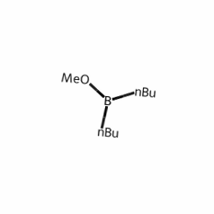 CCCCB(CCCC)OC